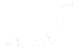 Cc1cc(OCCCS(C)(=O)=O)c2c(c1-c1cccc(COc3ccc4c(c3)OC[C@H]4CC(=O)O)c1)CC2